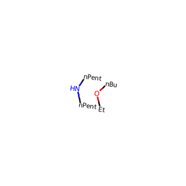 CCCCCNCCCCC.[CH2]COCCCC